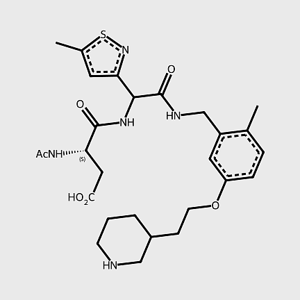 CC(=O)N[C@@H](CC(=O)O)C(=O)NC(C(=O)NCc1cc(OCCC2CCCNC2)ccc1C)c1cc(C)sn1